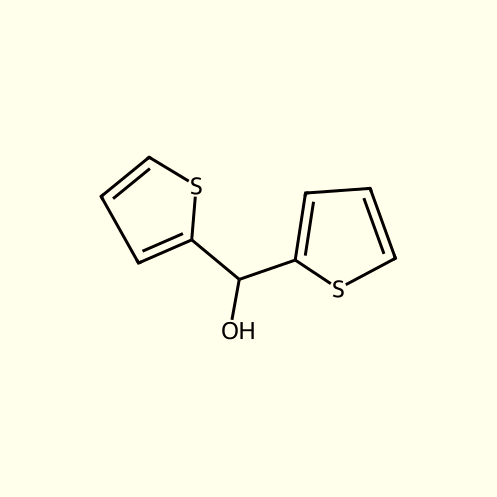 OC(c1cccs1)c1cccs1